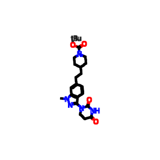 Cn1nc(N2CCC(=O)NC2=O)c2ccc(CCC3CCN(C(=O)OC(C)(C)C)CC3)cc21